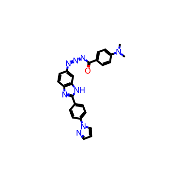 CN(C)c1ccc(C(=O)N=[N+]=Nc2ccc3nc(-c4ccc(-n5cccn5)cc4)[nH]c3c2)cc1